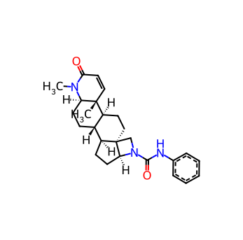 CN1C(=O)C=C[C@]2(C)[C@H]3CC[C@]45CN(C(=O)Nc6ccccc6)[C@H]4CC[C@H]5[C@@H]3CC[C@@H]12